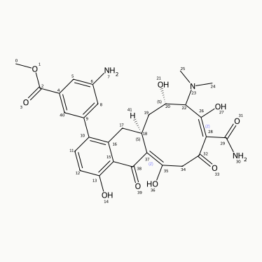 COC(=O)c1cc(N)cc(-c2ccc(O)c3c2C[C@H]2C[C@H](O)C(N(C)C)/C(O)=C(/C(N)=O)C(=O)C/C(O)=C\2C3=O)c1